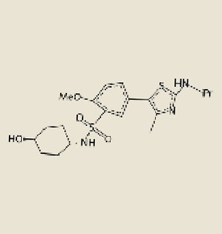 COc1ccc(-c2sc(NC(C)C)nc2C)cc1S(=O)(=O)N[C@H]1CC[C@H](O)CC1